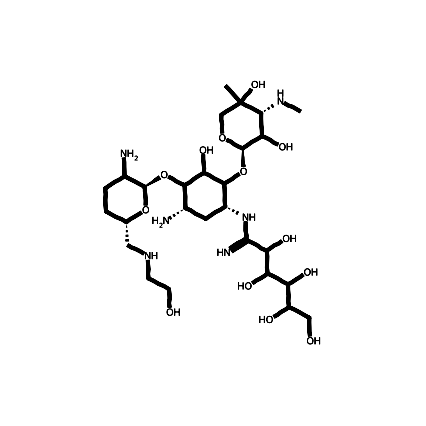 CN[C@@H]1C(O)[C@@H](OC2C(O)C(O[C@H]3O[C@H](CNCCO)CCC3N)[C@@H](N)C[C@H]2NC(=N)C(O)C(O)C(O)C(O)CO)OCC1(C)O